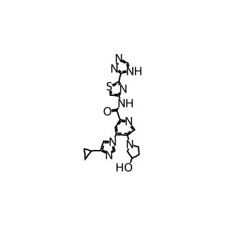 O=C(Nc1csc(-c2nnc[nH]2)n1)c1cc(-n2cnc(C3CC3)c2)c(N2CCC(O)C2)cn1